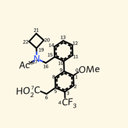 COc1cc(C(F)(F)F)c(CC(=O)O)cc1-c1ccccc1CN(C(C)=O)C1CCC1